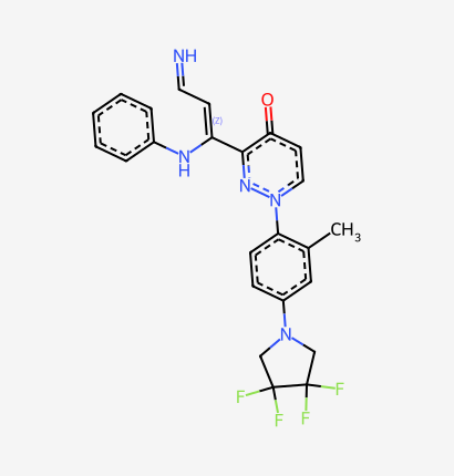 Cc1cc(N2CC(F)(F)C(F)(F)C2)ccc1-n1ccc(=O)c(/C(=C/C=N)Nc2ccccc2)n1